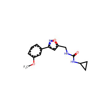 O=C(NCc1cc(-c2cccc(OC(F)(F)F)c2)no1)NC1CC1